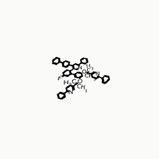 CC(C)(Oc1cc(OC(C)(C)c2ccc(-c3ccccc3)nc2)cc(-c2cc(F)ccc2-c2cnc(-c3ccccc3)cc2-c2ccc(-c3ccccc3)cc2)c1)c1ccc(-c2ccccc2)nc1